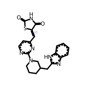 O=C1NC(=O)/C(=C/c2ccnc(N3CCCC(Cc4nc5ccccc5[nH]4)C3)n2)S1